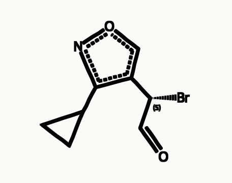 O=C[C@@H](Br)c1conc1C1CC1